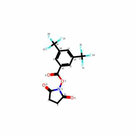 O=C(ON1C(=O)CCC1=O)c1cc(C(F)(F)F)cc(C(F)(F)F)c1